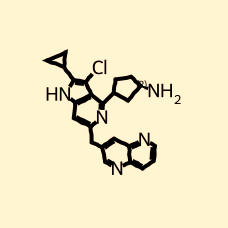 N[C@@H]1CCC(c2nc(Cc3cnc4cccnc4c3)cc3[nH]c(C4CC4)c(Cl)c23)C1